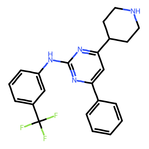 FC(F)(F)c1cccc(Nc2nc(-c3ccccc3)cc(C3CCNCC3)n2)c1